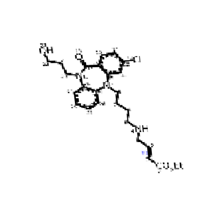 CCOC(=O)/C=C/CNCCCCN1c2cc(Cl)ccc2C(=O)N(CCCO)c2ccccc21